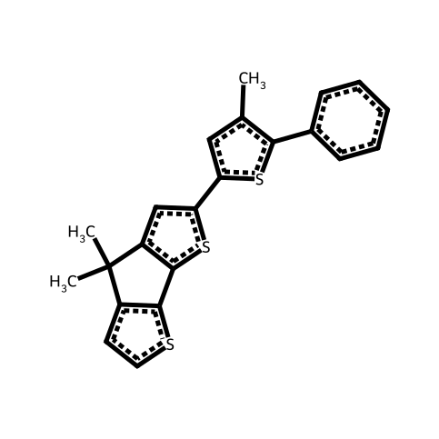 Cc1cc(-c2cc3c(s2)-c2sccc2C3(C)C)sc1-c1ccccc1